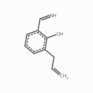 C=CCc1cccc(C=N)c1O